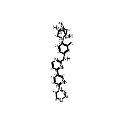 Cc1cc(Nc2nccc(-c3ccc(N4CCOCS4)nc3)n2)ccc1N1C[C@@H]2C[C@H]1CN2C